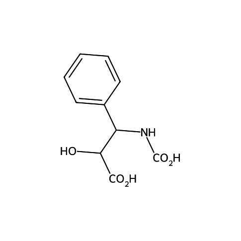 O=C(O)NC(c1ccccc1)C(O)C(=O)O